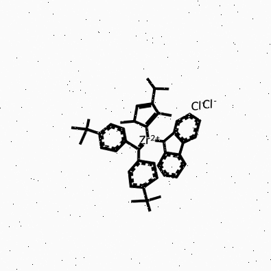 CC1=[C]([Zr+2](=[C](c2ccc(C(C)(C)C)cc2)c2ccc(C(C)(C)C)cc2)[CH]2c3ccccc3-c3ccccc32)C(C)C=C1C(C)C.[Cl-].[Cl-]